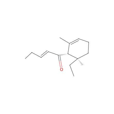 CC/C=C/C(=O)[C@@H]1C(C)=CCC[C@@]1(C)CC